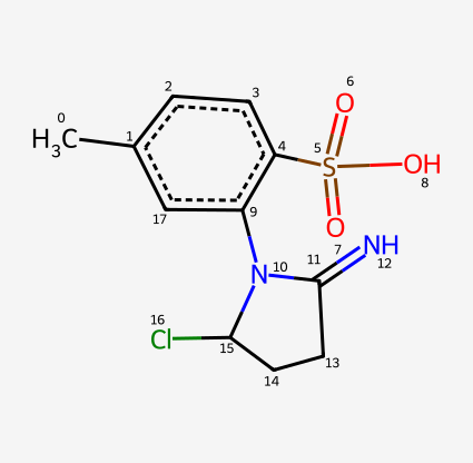 Cc1ccc(S(=O)(=O)O)c(N2C(=N)CCC2Cl)c1